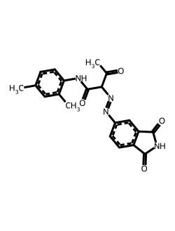 CC(=O)C(N=Nc1ccc2c(c1)C(=O)NC2=O)C(=O)Nc1ccc(C)cc1C